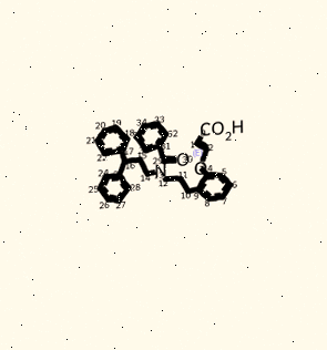 O=C(O)/C=C/Oc1ccccc1CCCN(CCC(c1ccccc1)c1ccccc1)C(=O)c1ccccc1